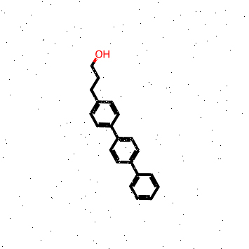 OCCCc1ccc(-c2ccc(-c3ccccc3)cc2)cc1